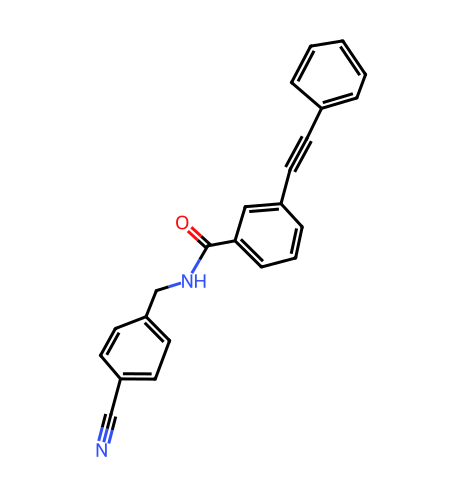 N#Cc1ccc(CNC(=O)c2cccc(C#Cc3ccccc3)c2)cc1